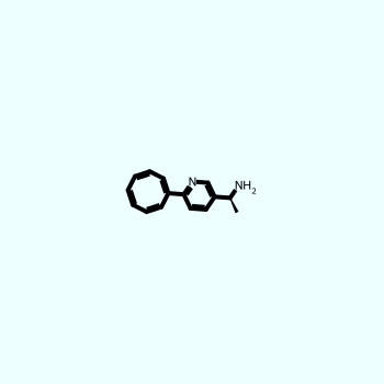 C[C@H](N)c1ccc(C2=C/C=C\C=C/C=C\2)nc1